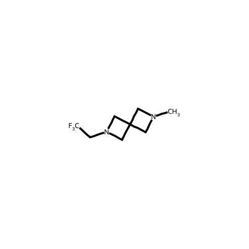 CN1CC2(C1)CN(CC(F)(F)F)C2